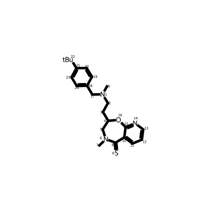 CN(CCC1CN(C)C(=S)c2cccnc2O1)Cc1ccc(C(C)(C)C)cc1